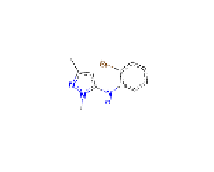 Cc1cc(Nc2ccccc2Br)n(C)n1